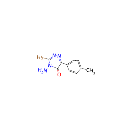 Cc1ccc(-c2nnc(S)n(N)c2=O)cc1